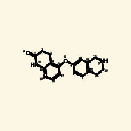 O=C1CCc2c(Oc3ccc4c(c3)CNCC4)ccnc2N1